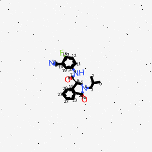 CC(C)CN1C[C@H](C(=O)Nc2ccc(F)c(C#N)c2)c2ccccc2C1=O